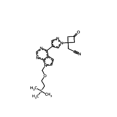 CS(C)(C)CCOCn1ccc2c(-c3cnn(C4(CC#N)CC(=O)C4)c3)ncnc21